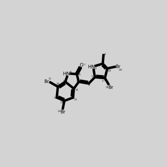 Cc1[nH]c(C=C2C(=O)Nc3c(Br)cc(Br)cc32)c(Br)c1Br